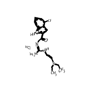 CCN(CC)CCNC(N)=NC(=O)c1cc2c(Cl)cccc2[nH]1.Cl